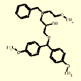 COCCN(Cc1ccccc1)CC(O)COC(c1ccc(OC)cc1)c1ccc(OC)cc1